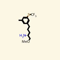 COC[C@H](N)CCCc1cc(C)cc(SC(F)(F)F)c1